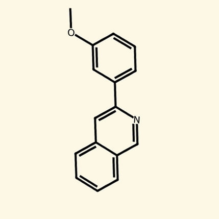 COc1cccc(-c2cc3ccccc3cn2)c1